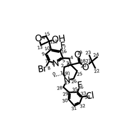 C[C@@H]1C[C@](Cc2nc(Br)cc(C3(O)COC3)c2F)(C(=O)OC(C)(C)C)CCN1Cc1cccc(Cl)c1F